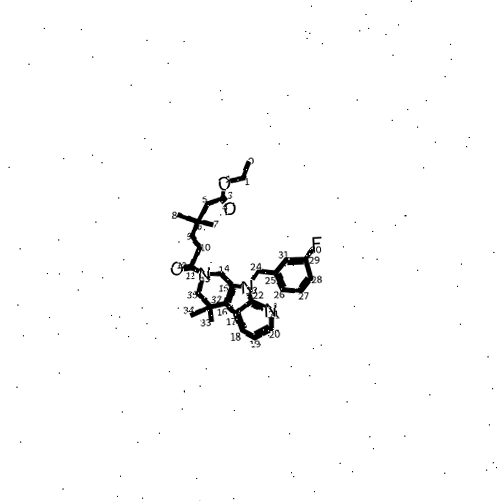 CCOC(=O)CC(C)(C)CCC(=O)N1Cc2c(c3cccnc3n2Cc2cccc(F)c2)C(C)(C)C1